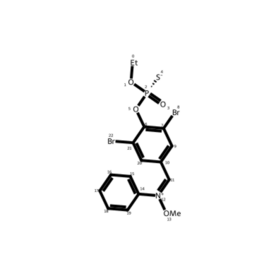 CCO[P@](=O)([S-])Oc1c(Br)cc(C=[N+](OC)c2ccccc2)cc1Br